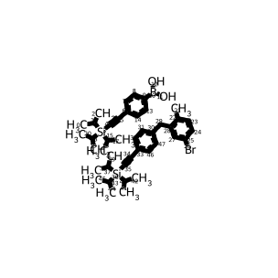 CC(C)[Si](C#Cc1ccc(B(O)O)cc1)(C(C)C)C(C)C.Cc1ccc(Br)cc1Cc1ccc(C#C[Si](C(C)C)(C(C)C)C(C)C)cc1